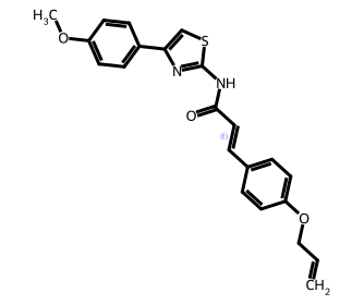 C=CCOc1ccc(/C=C/C(=O)Nc2nc(-c3ccc(OC)cc3)cs2)cc1